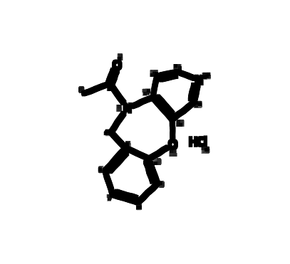 CC(=O)N1Cc2ccccc2Oc2cnccc21.Cl